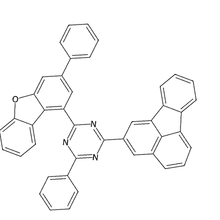 c1ccc(-c2cc(-c3nc(-c4ccccc4)nc(-c4cc5c6c(cccc6c4)-c4ccccc4-5)n3)c3c(c2)oc2ccccc23)cc1